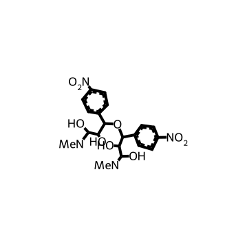 CNC(O)C(O)C(OC(c1ccc([N+](=O)[O-])cc1)C(O)C(O)NC)c1ccc([N+](=O)[O-])cc1